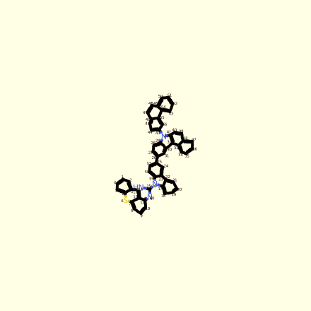 c1ccc2c(c1)Sc1cccc3c1=C2NC(n1c2ccccc2c2cc(-c4ccc5c(c4)c4c6ccccc6ccc4n5-c4ccc5ccc6ccccc6c5c4)ccc21)N=3